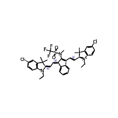 CCN1/C(=C/C=C2C(N(C)S(=O)(=O)C(F)(F)F)=C(/C=C/C3=[N+](CC)c4ccc(Cl)cc4C3(C)C)c3ccccc3/2)C(C)(C)c2cc(Cl)ccc21